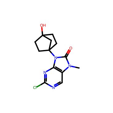 Cn1c(=O)n(C23CCC(O)(CC2)C3)c2nc(Cl)ncc21